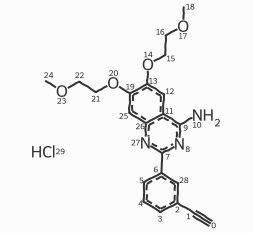 C#Cc1cccc(-c2nc(N)c3cc(OCCOC)c(OCCOC)cc3n2)c1.Cl